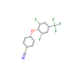 N#Cc1ccc(Oc2c(F)cc(C(F)(F)F)cc2F)cc1